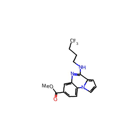 COC(=O)c1ccc2c(c1)nc(NCCCC(F)(F)F)c1cccn12